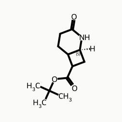 CC(C)(C)OC(=O)C1C[C@@H]2NC(=O)CCC12